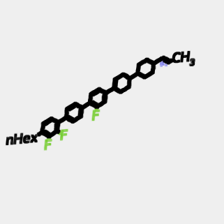 C/C=C/C1CCC(C2CC=C(c3ccc(-c4ccc(-c5ccc(CCCCCC)c(F)c5F)cc4)c(F)c3)CC2)CC1